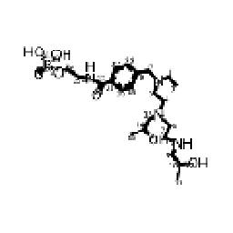 CCN(CCN(CCNC[C@H](C)O)C[C@H](C)O)Cc1ccc(C(=O)NCCOP(=O)(O)O)cc1